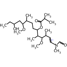 CCC(O)CC(OC)C(C)CCC(OC(=O)C(C)C)C(C)C(OC)C(C)/C=C/N(C)C=O